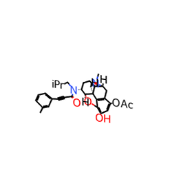 CC(=O)Oc1cc(O)c2c3c1C[C@@H]1[C@@H]4CC[C@@H](N(CC(C)C)C(=O)C#Cc5cccc(C)c5)[C@H](O2)[C@]34CCN1C